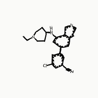 CCN1CCC(Nc2cc(-c3cc(Cl)cc(C#N)c3)cc3ccncc23)CC1